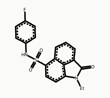 CCN1C(=O)c2cccc3c(S(=O)(=O)Nc4ccc(F)cc4)ccc1c23